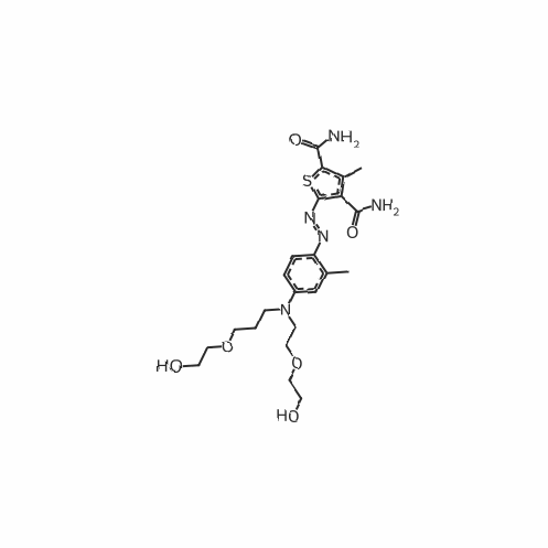 Cc1cc(N(CCCOCCO)CCOCCO)ccc1/N=N/c1sc(C(N)=O)c(C)c1C(N)=O